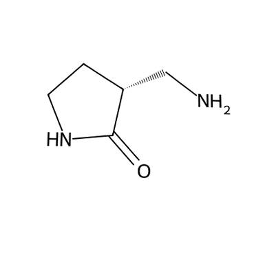 NC[C@H]1CCNC1=O